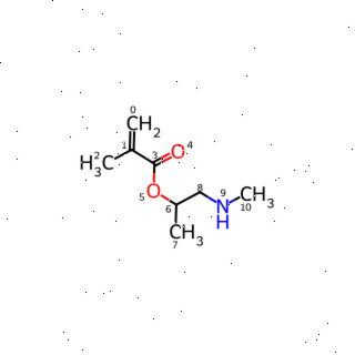 C=C(C)C(=O)OC(C)CNC